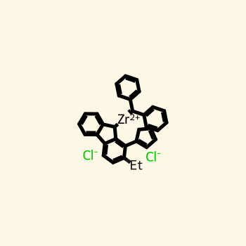 CCc1ccc2c(c1C1=CC=CC1)[CH]([Zr+2]=[C](c1ccccc1)c1ccccc1)c1ccccc1-2.[Cl-].[Cl-]